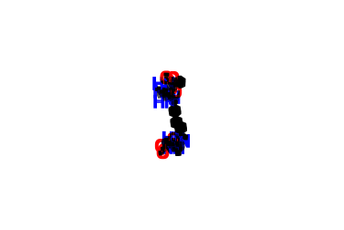 C=N[C@H]1C[C@@H](c2ncc(-c3ccc(-c4ccc5cc(-c6cnc([C@@H]7CC(=C)CN7C(=O)[C@@H](NC(=O)OC)C(C)C)[nH]6)ccc5c4)cc3)[nH]2)N(C(=O)[C@H](NC(=O)OC)c2ccccc2)C1